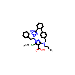 CCCN(Cc1ccc(-c2ccccc2-c2nnn[nH]2)cc1)c1nn(CCc2ccccc2)c(Br)c1C(=O)O.[KH].[KH]